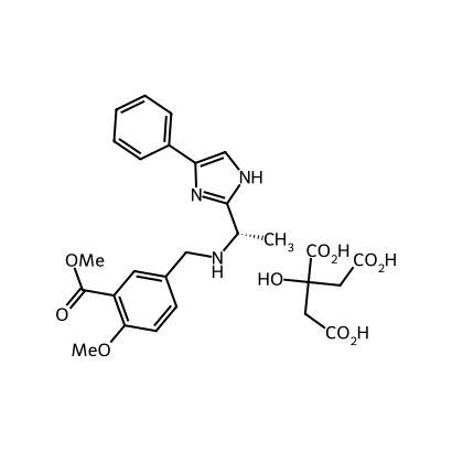 COC(=O)c1cc(CN[C@@H](C)c2nc(-c3ccccc3)c[nH]2)ccc1OC.O=C(O)CC(O)(CC(=O)O)C(=O)O